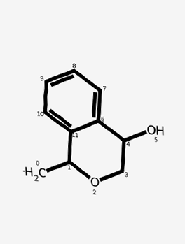 [CH2]C1OCC(O)c2ccccc21